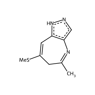 CSC1=Cc2[nH]ncc2N=C(C)C1